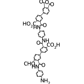 Nc1ccc(NC(=O)c2cc(-c3ccc(C(=O)O)c(C(=O)Nc4ccc(NC(=O)c5cc(-c6ccc7c(c6)C(=O)OC7=O)ccc5C(=O)O)cc4)c3)ccc2C=O)cc1